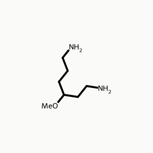 COC(CCN)CCCN